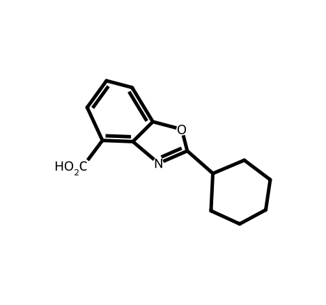 O=C(O)c1cccc2oc(C3CCCCC3)nc12